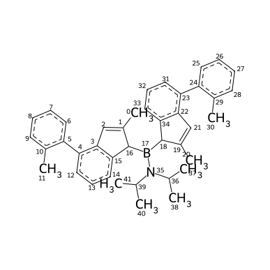 CC1=Cc2c(-c3ccccc3C)cccc2C1B(C1C(C)=Cc2c(-c3ccccc3C)cccc21)N(C(C)C)C(C)C